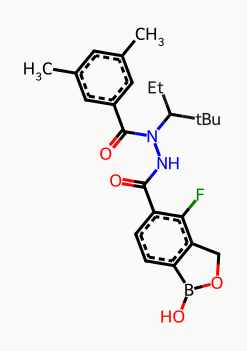 CCC(N(NC(=O)c1ccc2c(c1F)COB2O)C(=O)c1cc(C)cc(C)c1)C(C)(C)C